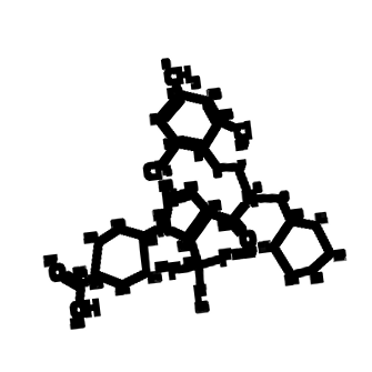 Cc1cc(Cl)c(CCN(CC2CCCCC2)C(=O)c2cnn([C@H]3CC[C@H](C(=O)O)CC3)c2C(F)(F)F)c(Cl)c1